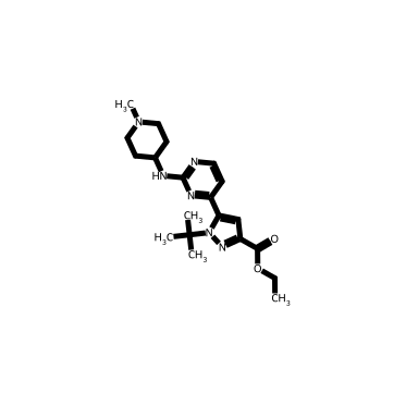 CCOC(=O)c1cc(-c2ccnc(NC3CCN(C)CC3)n2)n(C(C)(C)C)n1